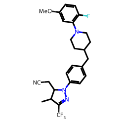 COc1ccc(F)c(N2CCC(Cc3ccc(N4N=C(C(F)(F)F)C(C)C4CC#N)cc3)CC2)c1